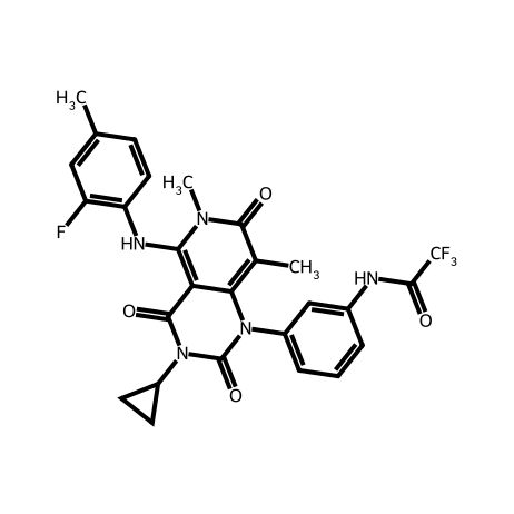 Cc1ccc(Nc2c3c(=O)n(C4CC4)c(=O)n(-c4cccc(NC(=O)C(F)(F)F)c4)c3c(C)c(=O)n2C)c(F)c1